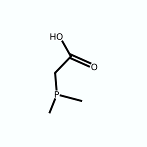 CP(C)CC(=O)O